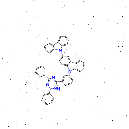 c1ccc(C2=NC(c3ccccc3)NC(c3cccc(-n4c5ccccc5c5cc(-n6c7ccccc7c7ccccc76)ccc54)c3)=N2)cc1